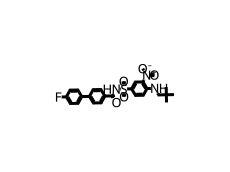 CC(C)(C)CNc1ccc(S(=O)(=O)NC(=O)c2ccc(-c3ccc(F)cc3)cc2)cc1[N+](=O)[O-]